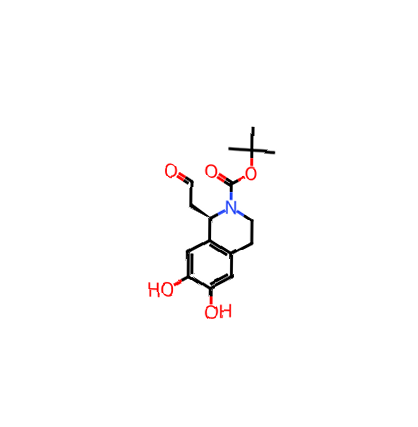 CC(C)(C)OC(=O)N1CCc2cc(O)c(O)cc2[C@H]1CC=O